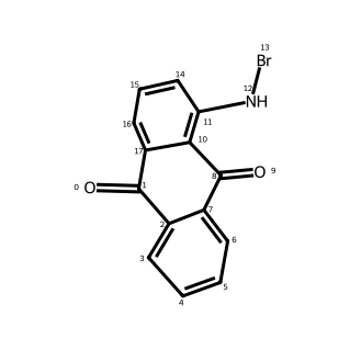 O=C1c2ccccc2C(=O)c2c(NBr)cccc21